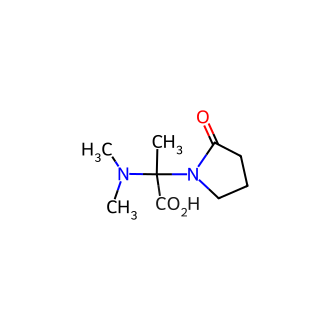 CN(C)C(C)(C(=O)O)N1CCCC1=O